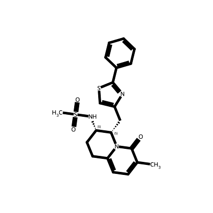 Cc1ccc2n(c1=O)[C@@H](Cc1csc(-c3ccccc3)n1)[C@@H](NS(C)(=O)=O)CC2